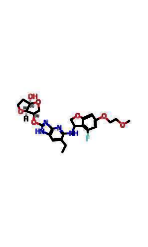 CCc1cc2[nH]c(O[C@@H]3CO[C@]4(O)CCO[C@H]34)nc2nc1NC1COc2cc(OCCOC)cc(F)c21